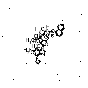 C[C@H](NP(=O)(OC[C@H]1OC(n2cnc3c(N4CCC4)nc(N)nc32)[C@](C)(O)[C@@H]1F)Oc1cccc2ccccc12)C(=O)OCC(C)(C)C